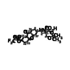 CC1(C)OCC(CCc2ccc3c(=O)c4cc(OS(=O)(=O)C(F)(F)F)ccc4oc3c2)(NC(=O)O)CO1